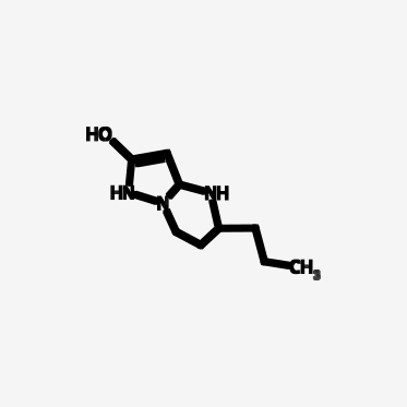 CCCC1CCN2NC(O)=CC2N1